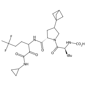 CC(F)(F)CCC(NC(=O)[C@@H]1CC(C23CC(C2)C3)CN1C(=O)[C@@H](NC(=O)O)C(C)(C)C)C(=O)C(=O)NC1CC1